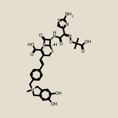 CC(C)(O/N=C(\C(=O)N[C@@H]1C(=O)N2C(C(=O)O)=C(/C=C/c3ccc(C[N+]4(C)Cc5cc(O)c(O)cc5C4)cc3)CS[C@H]12)c1csc(N)n1)C(=O)O